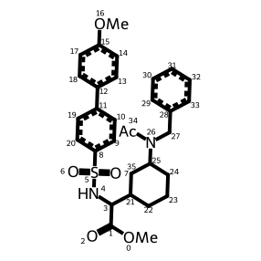 COC(=O)C(NS(=O)(=O)c1ccc(-c2ccc(OC)cc2)cc1)C1CCCC(N(Cc2ccccc2)C(C)=O)C1